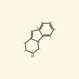 C1=C2CCNCC2c2ccccc21